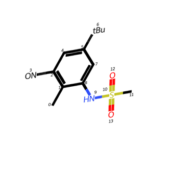 Cc1c(N=O)cc(C(C)(C)C)cc1NS(C)(=O)=O